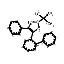 CC(C)(C)N1NC(c2ccccc2)=C(c2ccccc2-c2ccccc2)O1